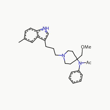 COCC1(N(C(C)=O)c2ccccc2)CCN(CCCc2c[nH]c3ccc(C)cc23)CC1